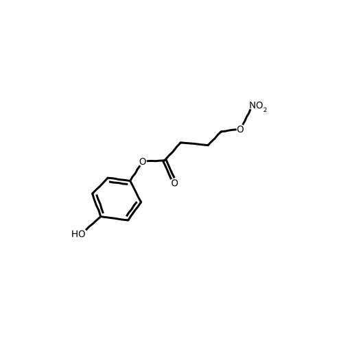 O=C(CCCO[N+](=O)[O-])Oc1ccc(O)cc1